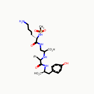 CC(C)C(NC(CNC(=O)[C@H](CCCCN)NS(C)(=O)=O)C(=O)O)C(=O)N[C@@H](Cc1ccc(O)cc1)C(=O)O